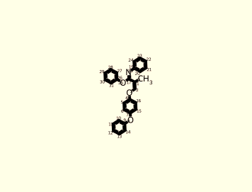 CC(=COc1ccc(Oc2ccccc2)cc1)/C(=N\c1ccccc1)Oc1ccccc1